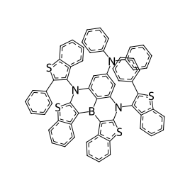 c1ccc(-c2sc3ccccc3c2N2c3cc(N(c4ccccc4)c4ccccc4)cc4c3B(c3c2sc2ccccc32)c2c(sc3ccccc23)N4c2c(-c3ccccc3)sc3ccccc23)cc1